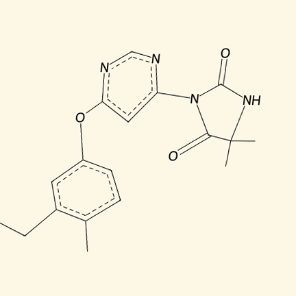 CCc1cc(Oc2cc(N3C(=O)NC(C)(C)C3=O)ncn2)ccc1C